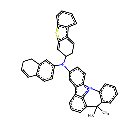 CC1(C)c2ccccc2-n2c3ccc(N(c4ccc5c(c4)CCC=C5)C4C=c5sc6ccccc6c5=CC4)cc3c3cccc1c32